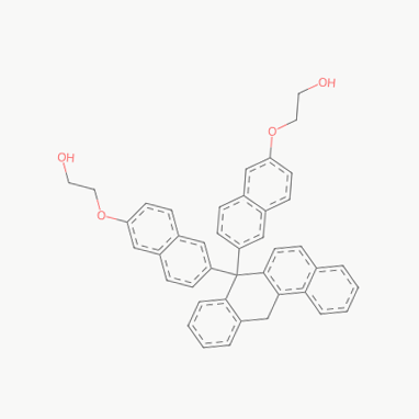 OCCOc1ccc2cc(C3(c4ccc5cc(OCCO)ccc5c4)c4ccccc4Cc4c3ccc3ccccc43)ccc2c1